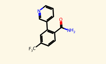 NC(=O)c1ccc(C(F)(F)F)cc1-c1cccnc1